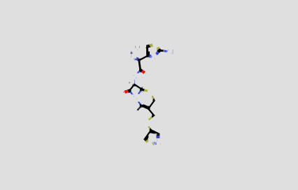 CON=C(C(=O)N[C@@H]1C(=O)N2C(C(=O)O)=C(CSc3cnsc3)CS[C@@H]12)c1csc(N)n1